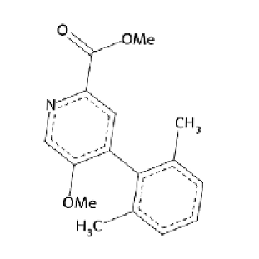 COC(=O)c1cc(-c2c(C)cccc2C)c(OC)cn1